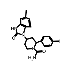 Cc1ccc2c(c1)[nH]c(=O)n2C1CCN(C(N)=O)C(c2ccc(I)cc2)C1